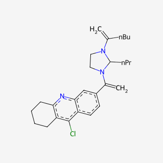 C=C(CCCC)N1CCN(C(=C)c2ccc3c(Cl)c4c(nc3c2)CCCC4)C1CCC